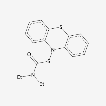 CCN(CC)C(=O)SN1c2ccccc2Sc2ccccc21